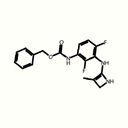 CC1=C(Nc2c(F)ccc(NC(=O)OCc3ccccc3)c2F)NC1